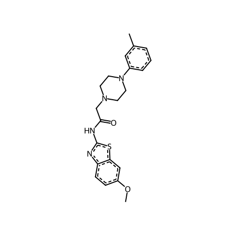 COc1ccc2nc(NC(=O)CN3CCN(c4cccc(C)c4)CC3)sc2c1